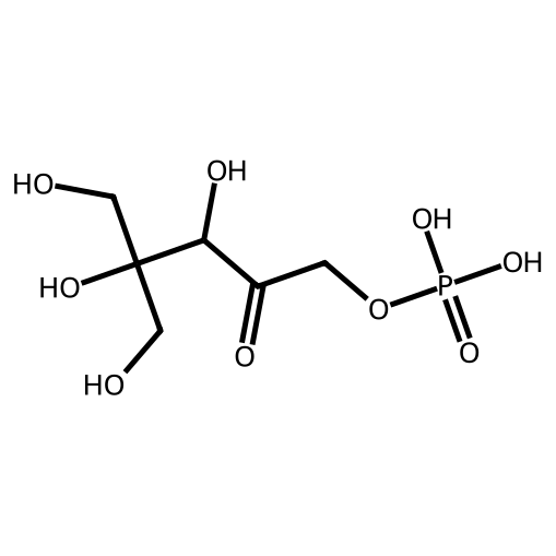 O=C(COP(=O)(O)O)C(O)C(O)(CO)CO